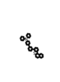 c1ccc(N(c2ccccc2)c2ccc(-c3cccc(-c4cccc5c4sc4ccc6ccccc6c45)c3)cc2)cc1